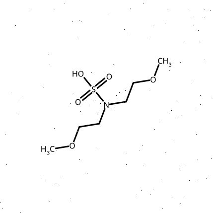 COCCN(CCOC)S(=O)(=O)O